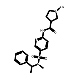 CC(c1ccccc1)N(C)S(=O)(=O)c1ccc(NC(=O)C2CCN(C#N)C2)nc1